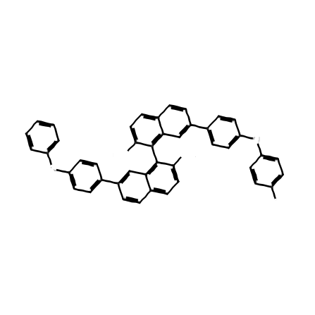 Cc1ccc(Nc2ccc(-c3ccc4ccc(C)c(-c5c(C)ccc6ccc(-c7ccc(Nc8ccccc8)cc7)cc56)c4c3)cc2)cc1